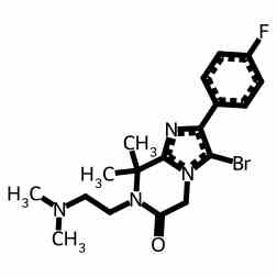 CN(C)CCN1C(=O)Cn2c(nc(-c3ccc(F)cc3)c2Br)C1(C)C